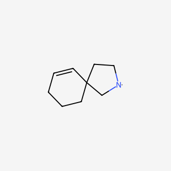 C1=CC2(CCC1)CC[N]C2